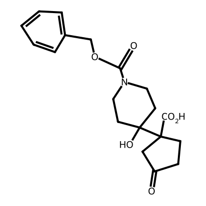 O=C1CCC(C(=O)O)(C2(O)CCN(C(=O)OCc3ccccc3)CC2)C1